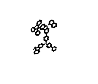 CC1(C)c2ccccc2-c2cc(N(c3ccc(-c4ccccc4)cc3)c3ccc(-c4ccc5c(c4)c4cc(C6(c7ccccc7)c7ccccc7-c7ccccc76)ccc4n5-c4cccc5ccccc45)cc3)ccc21